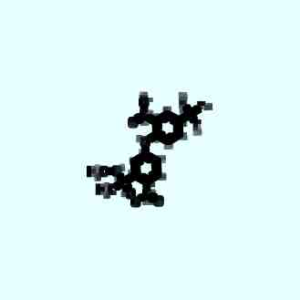 COP(C)(=O)c1cc(Oc2ccc(C(F)(F)F)cc2[N+](=O)[O-])ccc1[N+](=O)[O-]